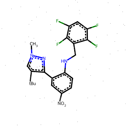 Cn1cc(C(C)(C)C)c(-c2cc([N+](=O)[O-])ccc2NCc2c(F)c(F)cc(F)c2F)n1